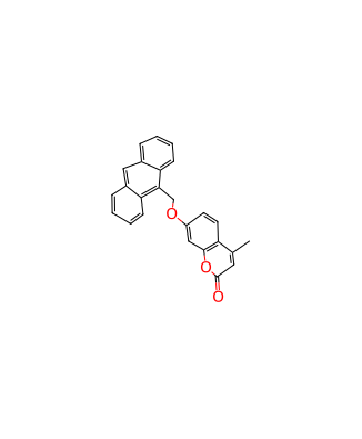 Cc1cc(=O)oc2cc(OCc3c4ccccc4cc4ccccc34)ccc12